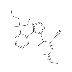 C=C(/C(C#N)=C\C(C)=C/C)n1ccnc1-c1ccccc1C(C)(CC)CCC